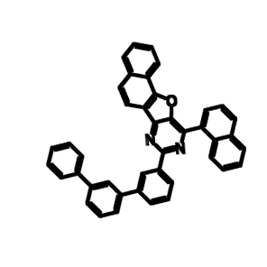 c1ccc(-c2cccc(-c3cccc(-c4nc(-c5cccc6ccccc56)c5oc6c7ccccc7ccc6c5n4)c3)c2)cc1